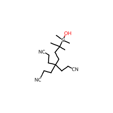 CC(C)(CCC(CCC#N)(CCC#N)CCC#N)[Si](C)(C)O